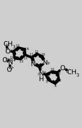 COc1cccc(Nc2nccc(-c3ccc(OC)c([N+](=O)[O-])c3)n2)c1